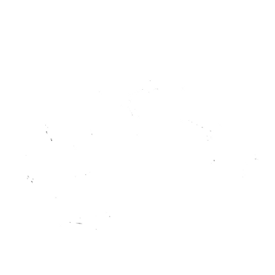 CC(COc1ncnc2ccccc12)c1ccc(-c2ccccc2)cc1